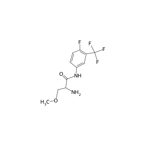 COCC(N)C(=O)Nc1ccc(F)c(C(F)(F)F)c1